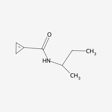 CCC(C)NC(=O)C1=CC1